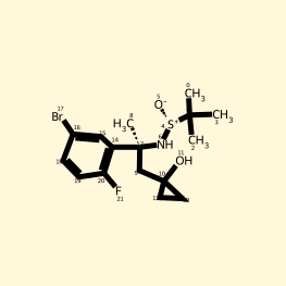 CC(C)(C)[S@@+]([O-])N[C@@](C)(CC1(O)CC1)c1cc(Br)ccc1F